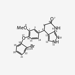 COc1cc(C2CC(=O)Nc3n[nH]cc32)ccc1Oc1ccccc1Br